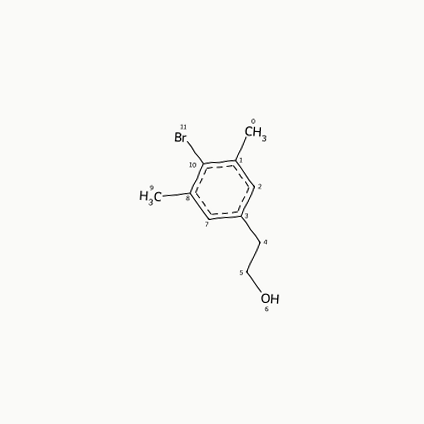 Cc1cc(CCO)cc(C)c1Br